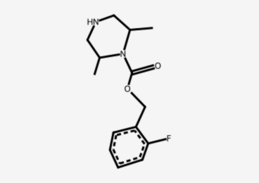 CC1CNCC(C)N1C(=O)OCc1ccccc1F